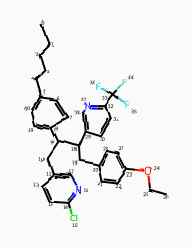 CCCCCc1ccc(C(Cc2ccc(Cl)nc2)C(Cc2ccc(OCC)cc2)c2ccc(C(F)(F)F)nc2)cc1